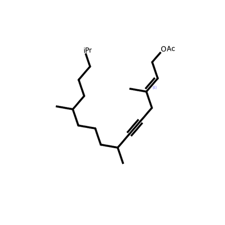 CC(=O)OC/C=C(\C)CC#CC(C)CCCC(C)CCCC(C)C